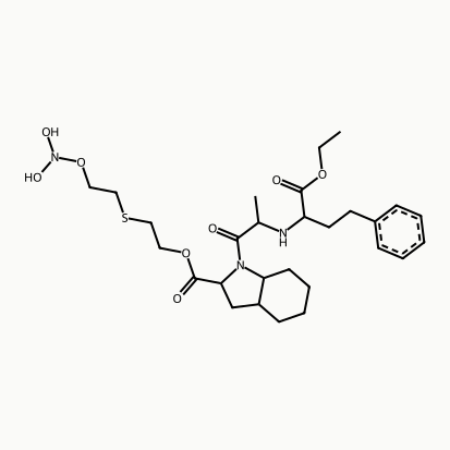 CCOC(=O)C(CCc1ccccc1)NC(C)C(=O)N1C(C(=O)OCCSCCON(O)O)CC2CCCCC21